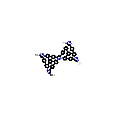 CC(C)(C)c1cc(-c2ccc(-c3ccccc3-c3cc(-c4ccccc4-c4ccc(-c5cc(-c6ccc(-c7ccccc7-c7cc(-c8ccccc8-c8ccc(-c9cc(C(C)(C)C)ncn9)cc8)cc(-c8ccccc8-c8ccc(-c9cc(C(C)(C)C)ncn9)cc8)c7)cc6)ncn5)cc4)cc(-c4ccccc4-c4ccc(-c5cc(C(C)(C)C)ncn5)cc4)c3)cc2)ncn1